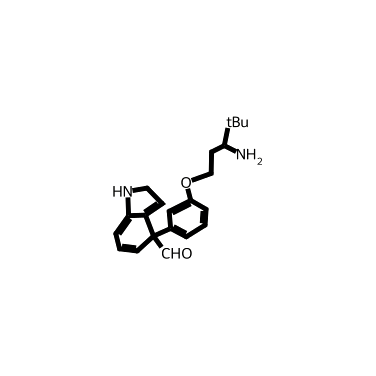 CC(C)(C)C(N)CCOc1cccc(C2(C=O)C=CC=C3NCC=C32)c1